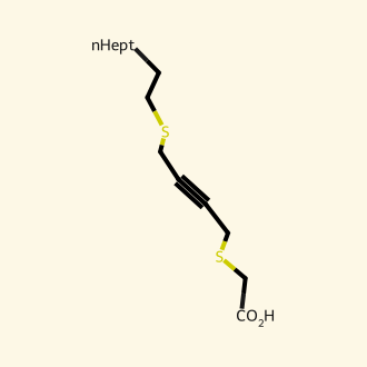 CCCCCCCCCSCC#CCSCC(=O)O